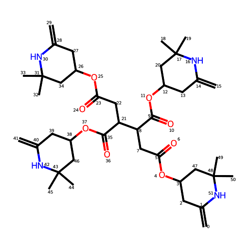 C=C1CC(OC(=O)CC(C(=O)OC2CC(=C)NC(C)(C)C2)C(CC(=O)OC2CC(=C)NC(C)(C)C2)C(=O)OC2CC(=C)NC(C)(C)C2)CC(C)(C)N1